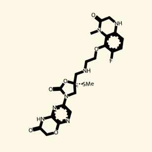 CS[C@]1(CNCCOc2c(F)ccc3c2N(C)C(=O)CN3)CN(c2cnc3c(n2)NC(=O)CO3)C(=O)O1